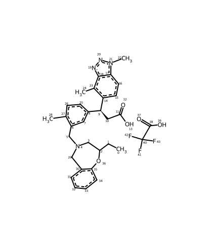 CCC1CN(Cc2cc([C@H](CC(=O)O)c3ccc4c(nnn4C)c3C)ccc2C)Cc2ccccc2O1.O=C(O)C(F)(F)F